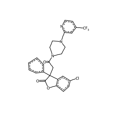 O=C(CC1(c2ccccc2)C(=O)Oc2ccc(Cl)cc21)N1CCN(c2cc(C(F)(F)F)ccn2)CC1